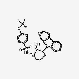 O=S(=O)(N[C@H]1CCCC(n2c3ccccc3c3ccncc32)[C@@H]1O)c1ccc(OC(F)(F)F)cc1